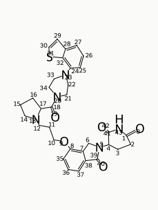 O=C1CCC(N2Cc3c(OCCCN4CCCC4C(=O)N4CCN(c5cccc6ccsc56)CC4)cccc3C2=O)C(=O)N1